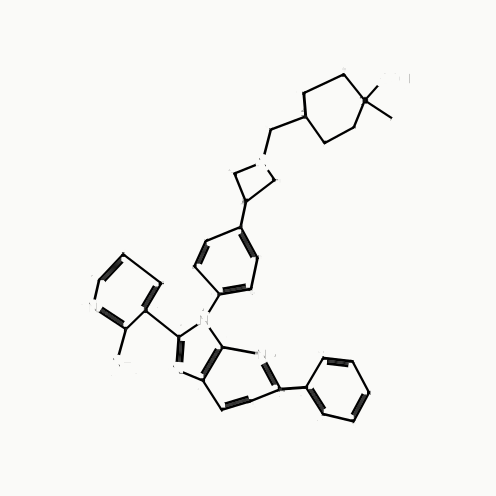 CC1(C(=O)O)CCC(CN2CC(c3ccc(-n4c(-c5cccnc5N)nc5ccc(-c6ccccc6)nc54)cc3)C2)CC1